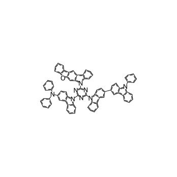 c1ccc(N(c2ccccc2)c2ccc3c(c2)c2ccccc2n3-c2nc(-n3c4ccccc4c4cc(-c5ccc6c(c5)c5ccccc5n6-c5ccccc5)ccc43)nc(-n3c4ccccc4c4cc5c(cc43)oc3ccccc35)n2)cc1